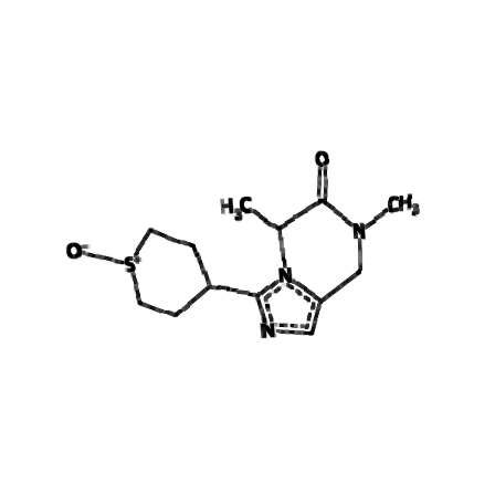 CC1C(=O)N(C)Cc2cnc(C3CC[S+]([O-])CC3)n21